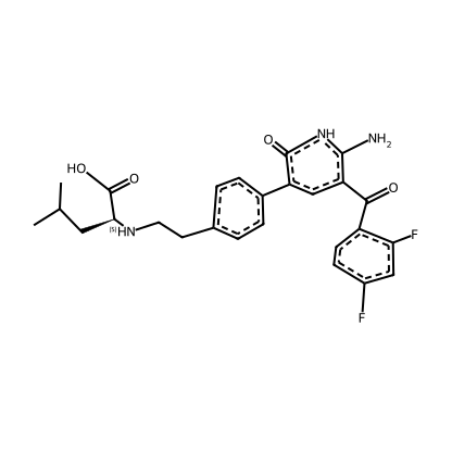 CC(C)C[C@H](NCCc1ccc(-c2cc(C(=O)c3ccc(F)cc3F)c(N)[nH]c2=O)cc1)C(=O)O